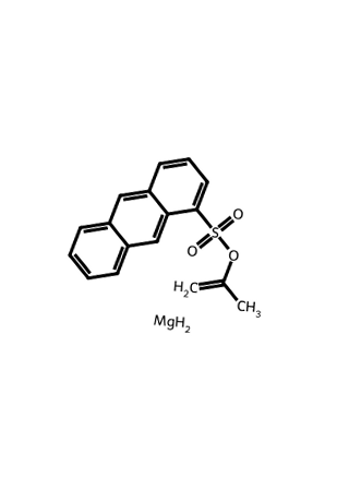 C=C(C)OS(=O)(=O)c1cccc2cc3ccccc3cc12.[MgH2]